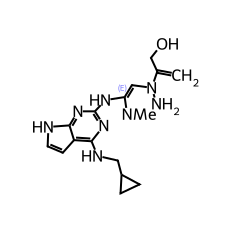 C=C(CO)N(N)/C=C(\NC)Nc1nc(NCC2CC2)c2cc[nH]c2n1